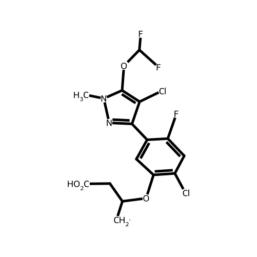 [CH2]C(CC(=O)O)Oc1cc(-c2nn(C)c(OC(F)F)c2Cl)c(F)cc1Cl